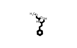 COCC(=O)NC(CO)CCc1ccccc1